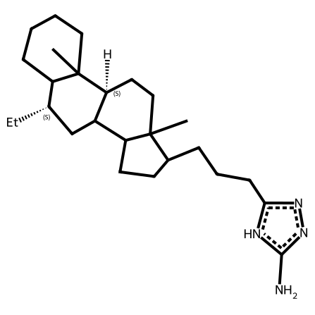 CC[C@H]1CC2C3CCC(CCCc4nnc(N)[nH]4)C3(C)CC[C@@H]2C2(C)CCCCC12